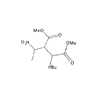 CCCCC(C(=O)OC)C(C(=O)OC)C(C)[N+](=O)[O-]